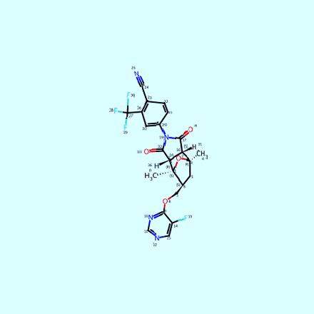 C[C@]12O[C@](C)(C[C@H]1COc1ncncc1F)[C@H]1C(=O)N(c3ccc(C#N)c(C(F)(F)F)c3)C(=O)[C@H]12